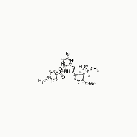 COc1ccc(COc2nc(Br)cnc2NS(=O)(=O)c2ccc(C)cc2)cc1CN(C)C